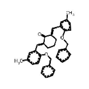 Cc1ccc(OCc2ccccc2)c(/C=C2\CCC/C(=C\c3cc(C)ccc3OCc3ccccc3)C2=O)c1